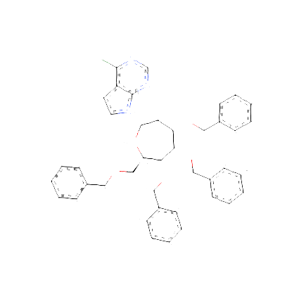 Clc1ncnc2c1ccn2[C@@H]1C[C@H](OCc2ccccc2)[C@H](OCc2ccccc2)[C@H](OCc2ccccc2)[C@@H](COCc2ccccc2)O1